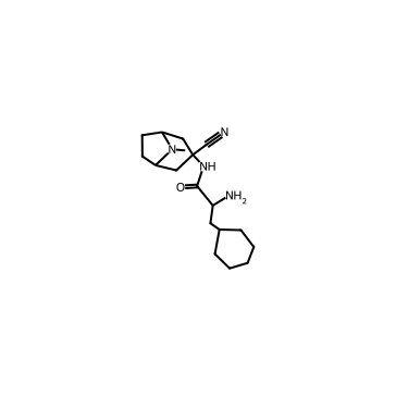 CN1C2CCC1CC(C#N)(NC(=O)C(N)CC1CCCCC1)C2